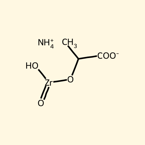 CC([O][Zr](=[O])[OH])C(=O)[O-].[NH4+]